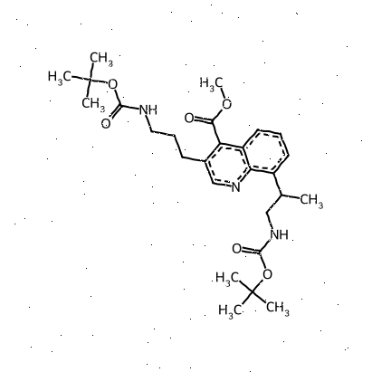 COC(=O)c1c(CCCNC(=O)OC(C)(C)C)cnc2c(C(C)CNC(=O)OC(C)(C)C)cccc12